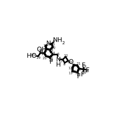 Nc1cc2c(CNC3CC(Oc4ccc(F)c(C(F)(F)F)c4)C3)c(F)cc([C@H](O)CO)c2cn1